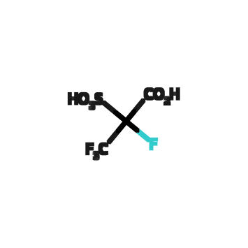 O=C(O)C(F)(C(F)(F)F)S(=O)(=O)O